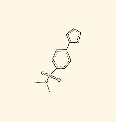 CN(C)S(=O)(=O)c1ccc(-c2cccs2)cc1